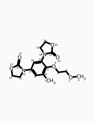 COCCOc1c(C)cc(N2CCOC2=O)cc1N1CCOC1=O